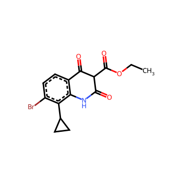 CCOC(=O)C1C(=O)Nc2c(ccc(Br)c2C2CC2)C1=O